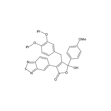 COc1ccc(C2(O)OC(=O)C(c3ccc4nsnc4c3)=C2Cc2ccc(OC(C)C)c(OC(C)C)c2)cc1